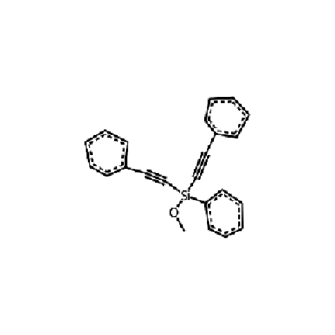 CO[Si](C#Cc1ccccc1)(C#Cc1ccccc1)c1ccccc1